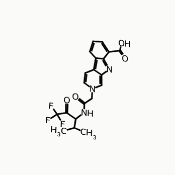 CC(C)C(NC(=O)Cn1ccc2c3cccc(C(=O)O)c3nc-2c1)C(=O)C(F)(F)F